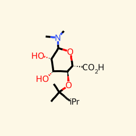 CC(C)C(C)(C)O[C@H]1[C@H](O)[C@H](O)C(N(C)C)O[C@@H]1C(=O)O